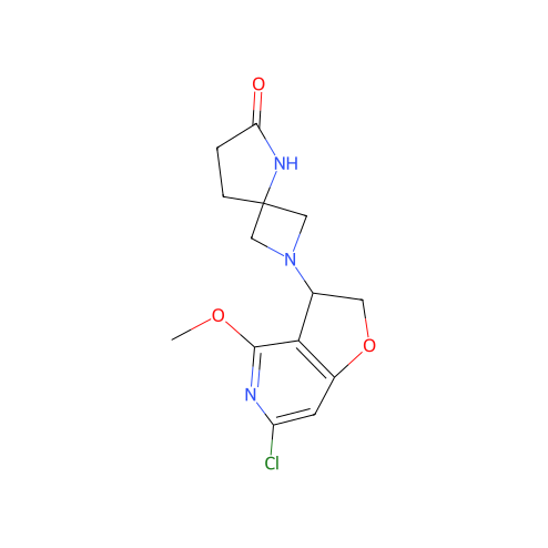 COc1nc(Cl)cc2c1C(N1CC3(CCC(=O)N3)C1)CO2